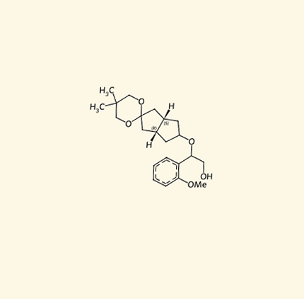 COc1ccccc1C(CO)OC1C[C@@H]2CC3(C[C@@H]2C1)OCC(C)(C)CO3